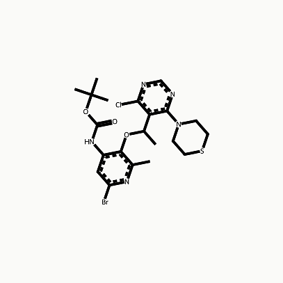 Cc1nc(Br)cc(NC(=O)OC(C)(C)C)c1OC(C)c1c(Cl)ncnc1N1CCSCC1